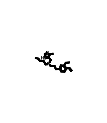 C=Cc1ccc(CCCN(CCCCC)Cc2[nH]cnc2C)cc1CC